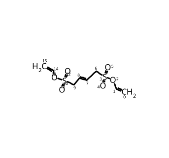 C=COS(=O)(=O)CC=CCS(=O)(=O)OC=C